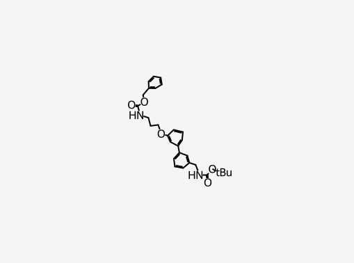 CC(C)(C)OC(=O)NCc1cccc(-c2cccc(OCCCNC(=O)OCc3ccccc3)c2)c1